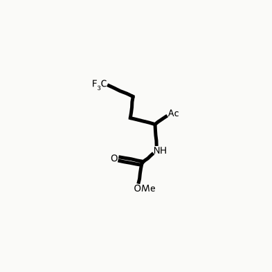 COC(=O)NC(CCC(F)(F)F)C(C)=O